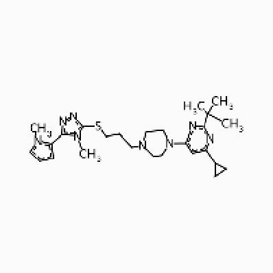 Cn1cccc1-c1nnc(SCCCN2CCN(c3cc(C4CC4)nc(C(C)(C)C)n3)CC2)n1C